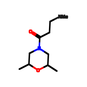 CNCCC(=O)N1CC(C)OC(C)C1